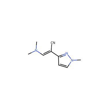 CN(C)C=C(C#N)c1ccn(C)n1